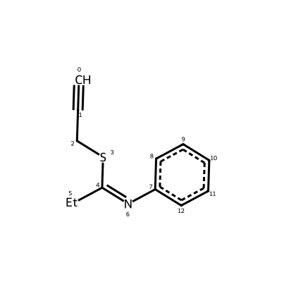 C#CCSC(CC)=Nc1ccccc1